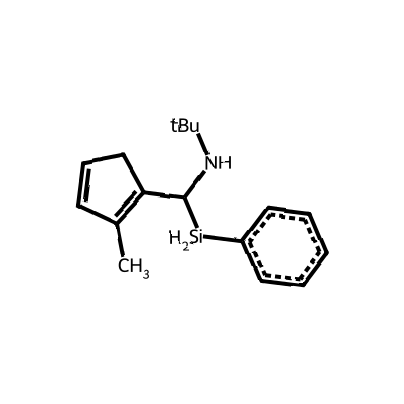 CC1=C(C(NC(C)(C)C)[SiH2]c2ccccc2)CC=C1